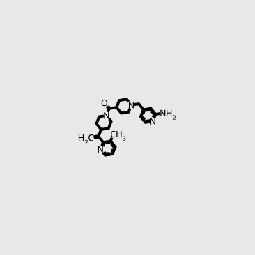 C=C(c1ncccc1C)C1CCN(C(=O)C2CCN(Cc3ccnc(N)c3)CC2)CC1